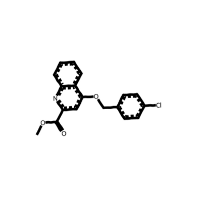 COC(=O)c1cc(OCc2ccc(Cl)cc2)c2ccccc2n1